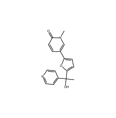 Cn1cc(-c2ccc(C(C)(O)c3ccncc3)o2)ccc1=O